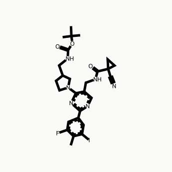 Cc1c(F)cc(-c2ncc(CNC(=O)C3(C#N)CC3)c(N3CCC(CNC(=O)OC(C)(C)C)C3)n2)cc1I